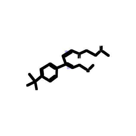 CNCCN/C=C\C(=C/COC)c1ccc(C(C)(C)C)cc1